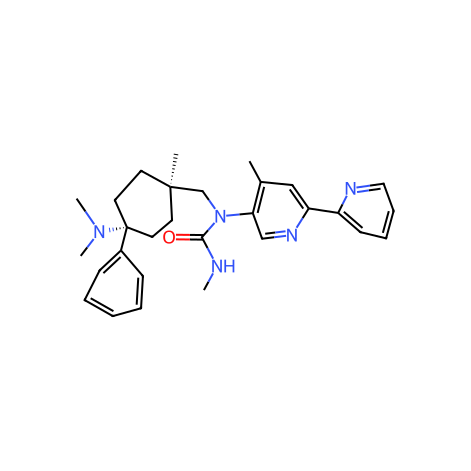 CNC(=O)N(C[C@]1(C)CC[C@@](c2ccccc2)(N(C)C)CC1)c1cnc(-c2ccccn2)cc1C